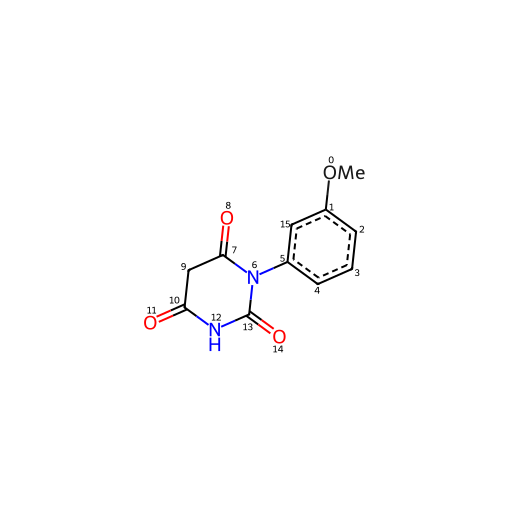 COc1cccc(N2C(=O)CC(=O)NC2=O)c1